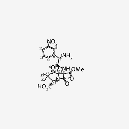 COC(=O)[C@]1(NC(=O)C(N)c2cccc([N+](=O)[O-])c2)C(=O)N2[C@@H](C(=O)O)C(C)(C)S[C@@H]21